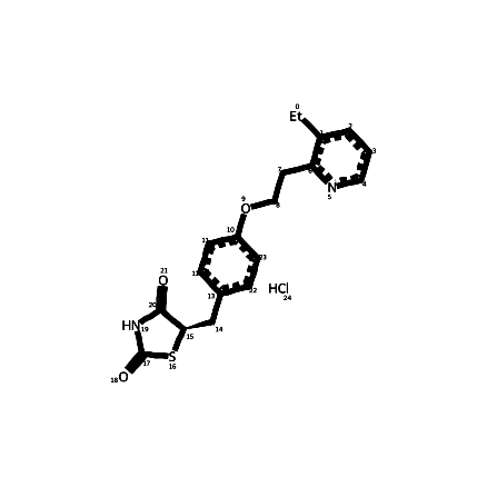 CCc1cccnc1CCOc1ccc(C[C@H]2SC(=O)NC2=O)cc1.Cl